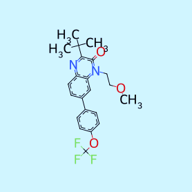 COCCn1c(=O)c(C(C)(C)C)nc2ccc(-c3ccc(OC(F)(F)F)cc3)cc21